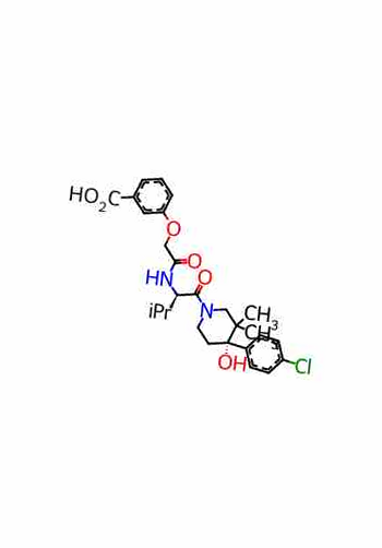 CC(C)[C@@H](NC(=O)COc1cccc(C(=O)O)c1)C(=O)N1CC[C@](O)(c2ccc(Cl)cc2)C(C)(C)C1